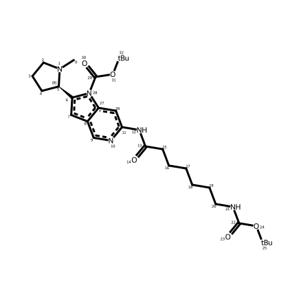 CN1CCC[C@@H]1c1cc2cnc(NC(=O)CCCCCCNC(=O)OC(C)(C)C)cc2n1C(=O)OC(C)(C)C